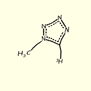 [3H]c1nnnn1C